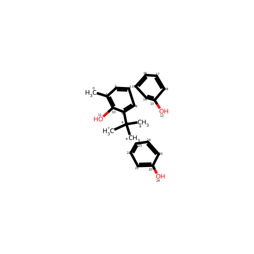 Cc1cccc(C(C)(C)C)c1O.Oc1ccccc1.Oc1ccccc1